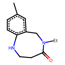 CCN1Cc2cc(C)ccc2NCCC1=O